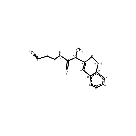 CN(C(=O)NCCC=O)C1=Cc2ccccc2NC1